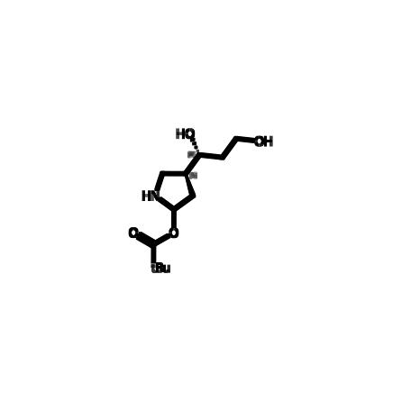 CC(C)(C)C(=O)OC1C[C@H]([C@H](O)CCO)CN1